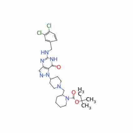 CC(C)(C)OC(=O)N1CCCCC1CN1CCC(n2ncc3nc(NCc4ccc(Cl)c(Cl)c4)[nH]c(=O)c32)CC1